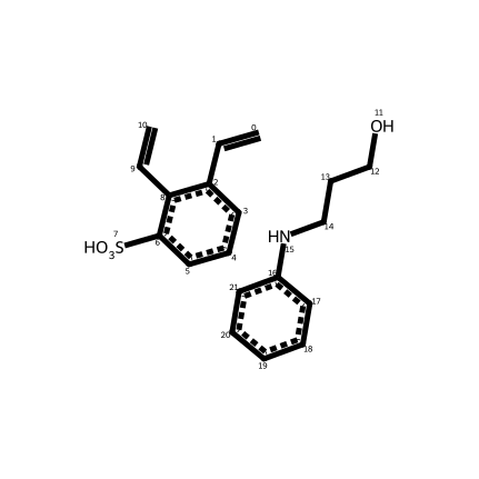 C=Cc1cccc(S(=O)(=O)O)c1C=C.OCCCNc1ccccc1